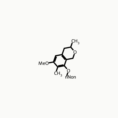 CCCCCCCCCOc1c(C)c(OC)cc2c1COC(C)C2